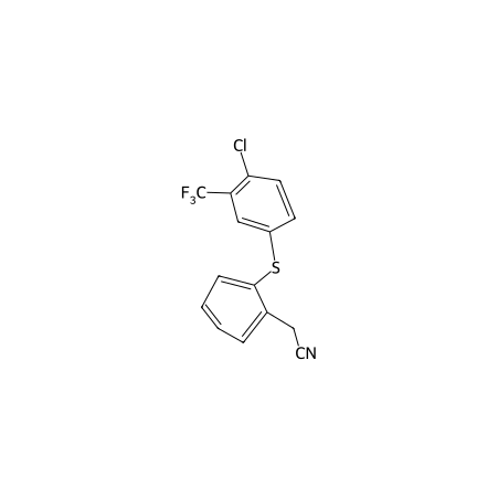 N#CCc1ccccc1Sc1ccc(Cl)c(C(F)(F)F)c1